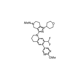 CNN1CCc2c(c(N3CCCc4cc(-c5cnc(OC)nc5)c(C(F)F)cc43)nn2C2CCOCC2)C1